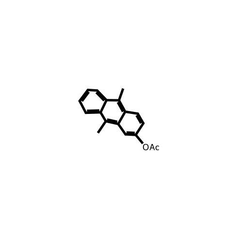 CC(=O)Oc1ccc2c(C)c3ccccc3c(C)c2c1